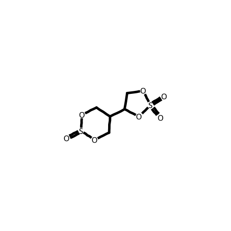 O=S1OCC(C2COS(=O)(=O)O2)CO1